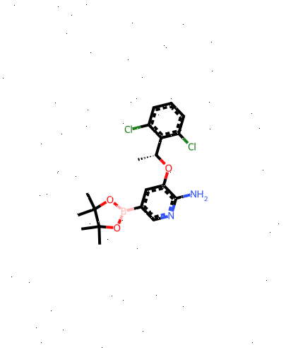 C[C@@H](Oc1cc(B2OC(C)(C)C(C)(C)O2)cnc1N)c1c(Cl)cccc1Cl